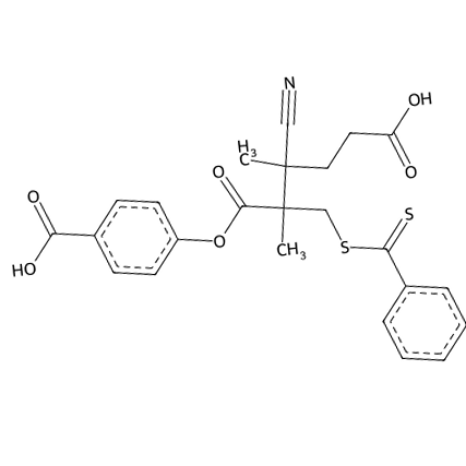 CC(C#N)(CCC(=O)O)C(C)(CSC(=S)c1ccccc1)C(=O)Oc1ccc(C(=O)O)cc1